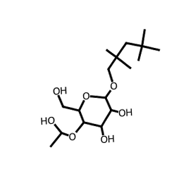 CC(O)OC1C(CO)OC(OCC(C)(C)CC(C)(C)C)C(O)C1O